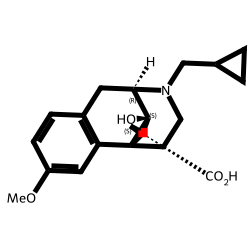 COc1ccc2c(c1)C13CCN(CC4CC4)[C@H](C2)[C@]1(O)C[C@@H](C(=O)O)C3